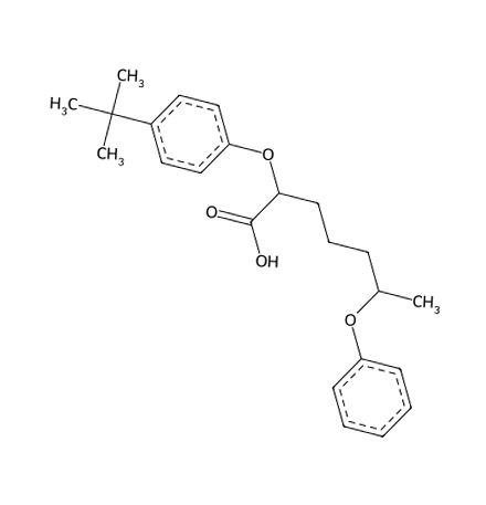 CC(CCCC(Oc1ccc(C(C)(C)C)cc1)C(=O)O)Oc1ccccc1